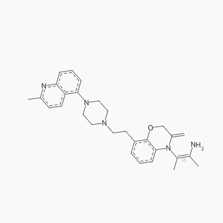 C=C1COc2c(CCN3CCN(c4cccc5nc(C)ccc45)CC3)cccc2N1/C(C)=C(/C)N